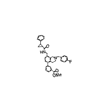 COC(=O)c1cccc(-c2ccc(CNC(=O)C3CC3c3ccccc3)c3c2CCN(Cc2ccc(F)cc2)C3)c1